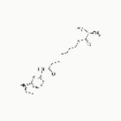 CC(C)C(=O)SCCCCCCC(=O)Nc1ccc2cc[nH]c2c1